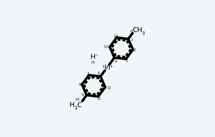 Cc1cc[c]([In+][c]2ccc(C)cc2)cc1.[H-]